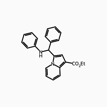 CCOC(=O)c1cc(C(Nc2ccccc2)c2ccccc2)n2ccccc12